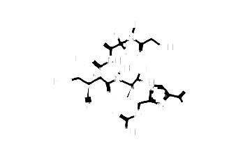 C#C[C@@H](CC)[C@H](C(=C)NC(=O)C(C)(C)N(I)C(=O)CC)C(=O)N(C)[C@H](C[C@@H](OC(C)=O)c1nc(C(=O)O)cs1)C(C)C